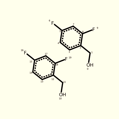 OCc1ccc(F)cc1F.OCc1ccc(F)cc1F